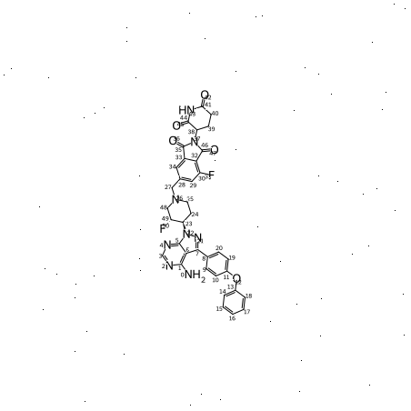 Nc1ncnc2c1c(-c1ccc(Oc3ccccc3)cc1)nn2[C@@H]1CCN(Cc2cc(F)c3c(c2)C(=O)N(C2CCC(=O)NC2=O)C3=O)C[C@H]1F